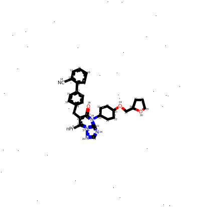 CCCc1c(Cc2ccc(-c3ccccc3C#N)cc2)c(=O)n(C2CCC(OCC3CCCO3)CC2)c2ncnn12